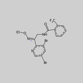 CCO/N=C(\CNC(=O)c1ccccc1C(F)(F)F)c1ncc(Br)cc1Br